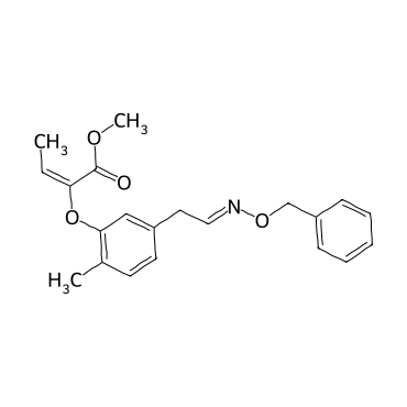 CC=C(Oc1cc(CC=NOCc2ccccc2)ccc1C)C(=O)OC